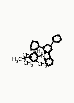 Cc1cc(C(C)(C)C)cc(C)c1-n1c2ccccc2c2cc(-c3ccccc3)cc(-c3ccccc3)c21